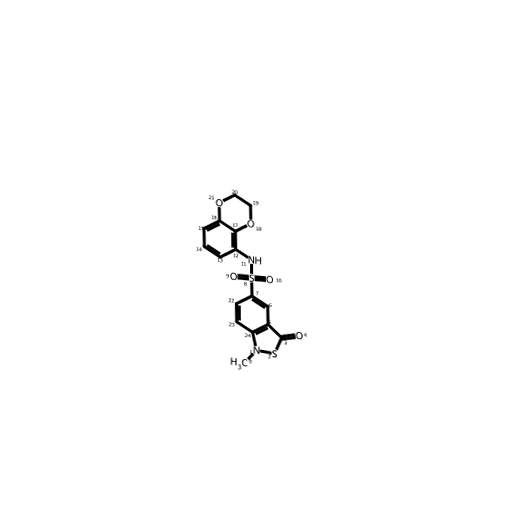 Cn1sc(=O)c2cc(S(=O)(=O)Nc3cccc4c3OCCO4)ccc21